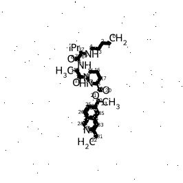 C=CCCCNC(C(=O)N[C@@H](C)C(=O)N1CCC[C@@H](C(=O)O[C@H](C)c2ccc3cnc(C=C)cc3c2)N1)C(C)C